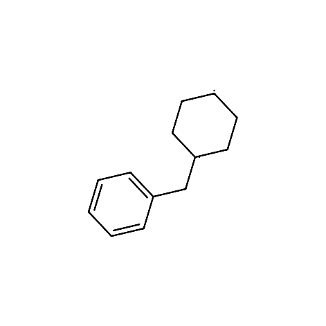 [CH]1CC[C](Cc2ccccc2)CC1